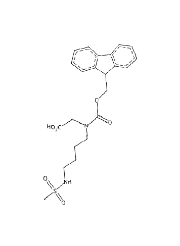 CS(=O)(=O)NCCCCN(CC(=O)O)C(=O)OCC1c2ccccc2-c2ccccc21